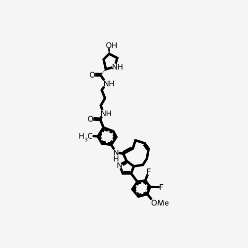 COc1ccc(C2=CN=C3/C(Nc4ccc(C(=O)NCCCNC(=O)[C@@H]5C[C@@H](O)CN5)c(C)c4)=C/C/C=C\CCC23)c(F)c1F